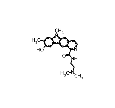 Cc1cc2c(cc1O)c1cc3c(C(=O)NCCN(C)C)nccc3cc1n2C